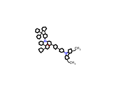 CCc1ccc2c(c1)c1cc(CC)ccc1n2-c1ccc(-c2ccc(-c3ccc(N(c4ccc5c(c4)C(c4ccccc4)(c4ccccc4)c4ccccc4-5)c4ccccc4-c4ccccc4-c4ccccc4)cc3)cc2)cc1